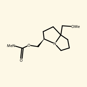 CNC(=O)OC[C@H]1CCC2(COC)CCCN12